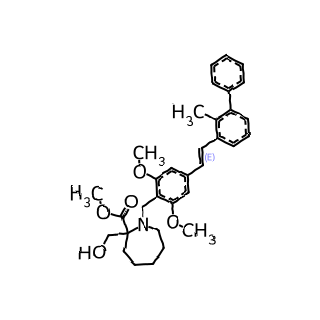 COC(=O)C1(CO)CCCCCN1Cc1c(OC)cc(/C=C/c2cccc(-c3ccccc3)c2C)cc1OC